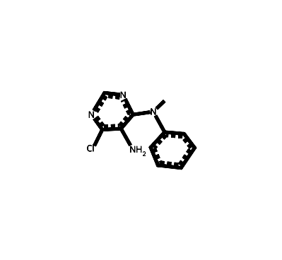 CN(c1ccccc1)c1ncnc(Cl)c1N